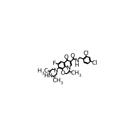 C[C@@H]1CN(c2c(F)cc3c(=O)c(C(=O)NCc4ccc(Cl)cc4Cl)cn4c3c2OC[C@@H]4C)C[C@H](C)N1